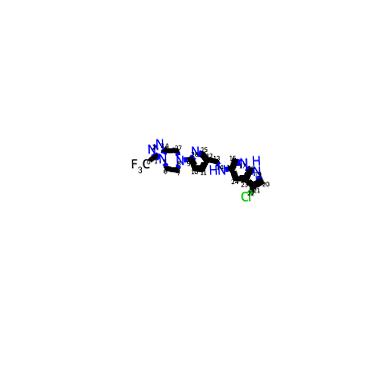 FC(F)(F)c1nnc2n1CCN(c1ccc(CNc3cnc4[nH]cc(Cl)c4c3)cn1)C2